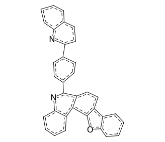 c1ccc2nc(-c3ccc(-c4nc5ccccc5c5c4ccc4c6ccccc6oc45)cc3)ccc2c1